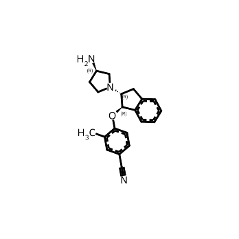 Cc1cc(C#N)ccc1O[C@@H]1c2ccccc2C[C@H]1N1CC[C@@H](N)C1